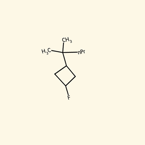 CCCC(C)(C)C1CC(F)C1